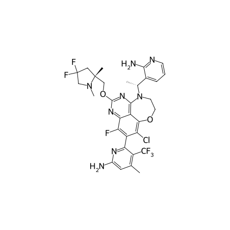 Cc1cc(N)nc(-c2c(Cl)c3c4c(nc(OC[C@@]5(C)CC(F)(F)CN5C)nc4c2F)N([C@H](C)c2cccnc2N)CCO3)c1C(F)(F)F